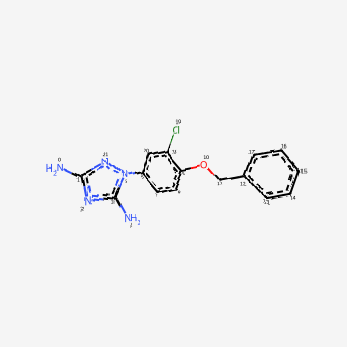 Nc1nc(N)n(-c2ccc(OCc3ccccc3)c(Cl)c2)n1